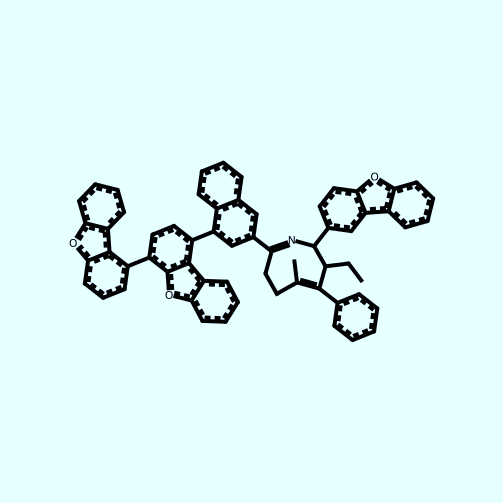 CCC1/C(c2ccccc2)=C(\C)CC/C(c2cc(-c3ccc(-c4cccc5oc6ccccc6c45)c4oc5ccccc5c34)c3ccccc3c2)=N\C1c1ccc2oc3ccccc3c2c1